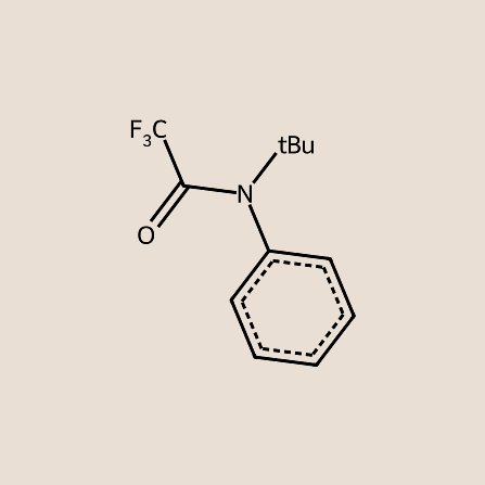 CC(C)(C)N(C(=O)C(F)(F)F)c1ccccc1